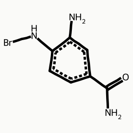 NC(=O)c1ccc(NBr)c(N)c1